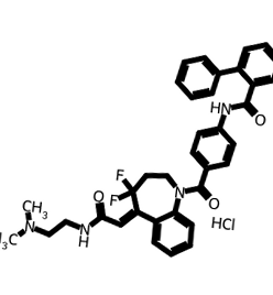 CN(C)CCNC(=O)C=C1c2ccccc2N(C(=O)c2ccc(NC(=O)c3ccccc3-c3ccccc3)cc2)CCC1(F)F.Cl